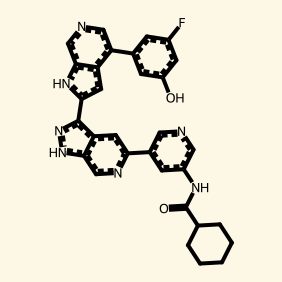 O=C(Nc1cncc(-c2cc3c(-c4cc5c(-c6cc(O)cc(F)c6)cncc5[nH]4)n[nH]c3cn2)c1)C1CCCCC1